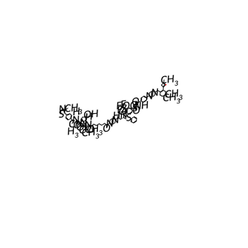 Cc1ncsc1-c1ccc([C@H](C)NC(=O)[C@@H]2C[C@@H](O)CN2C(=O)[C@@H](NC(=O)CCCCCC(=O)N2CCN(CC[C@H](CSc3ccccc3)Nc3ccc(S(=O)(=O)NC(=O)c4ccc(N5CCN(CC6=C(C78CC(C)(C7)C8)CC(C)(C)CC6)CC5)cc4)cc3S(=O)(=O)C(F)(F)F)CC2)C(C)(C)C)cc1